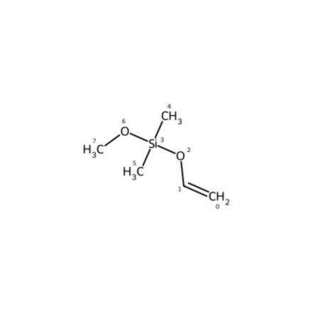 C=CO[Si](C)(C)OC